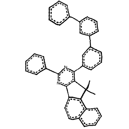 CC1(C)c2c(-c3cccc(-c4cccc(-c5ccccc5)c4)c3)nc(-c3ccccc3)nc2-c2ccc3ccccc3c21